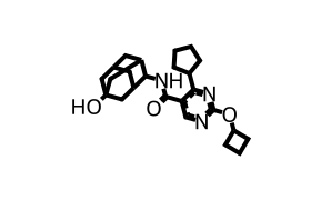 O=C(NC1C2CC3CC1CC(O)(C3)C2)c1cnc(OC2CCC2)nc1C1CCCC1